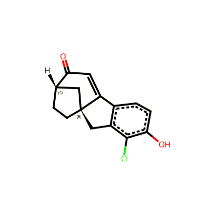 O=C1C=C2c3ccc(O)c(Cl)c3C[C@]23CC[C@H]1C3